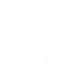 C=C/C(Cl)=C(C[C@H](OC(=O)N(C)c1ccc(OC)c(OC)c1)c1ccc(OC(F)F)c(OCC2CC2)c1)\C(Cl)=C/C